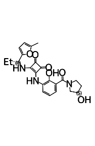 CC[C@@H](Nc1c(Nc2cccc(C(=O)N3CC[C@H](O)C3)c2O)c(=O)c1=O)c1ccc(C)o1